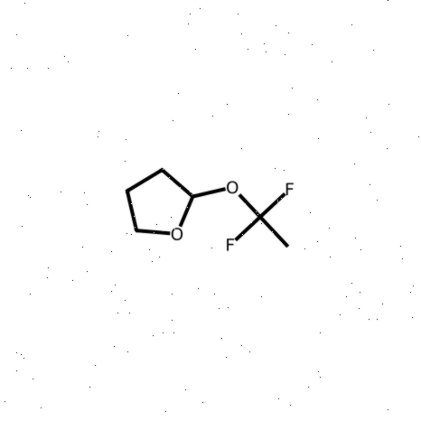 CC(F)(F)OC1CCCO1